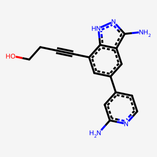 Nc1cc(-c2cc(C#CCCO)c3[nH]nc(N)c3c2)ccn1